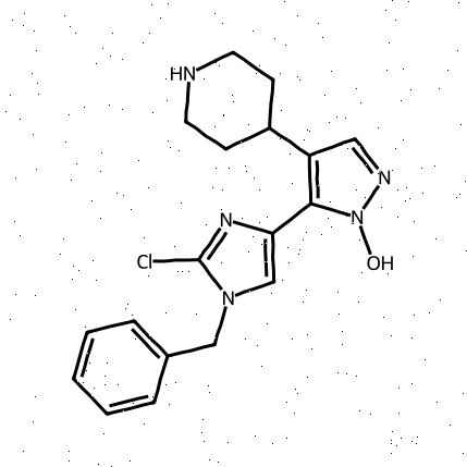 On1ncc(C2CCNCC2)c1-c1cn(Cc2ccccc2)c(Cl)n1